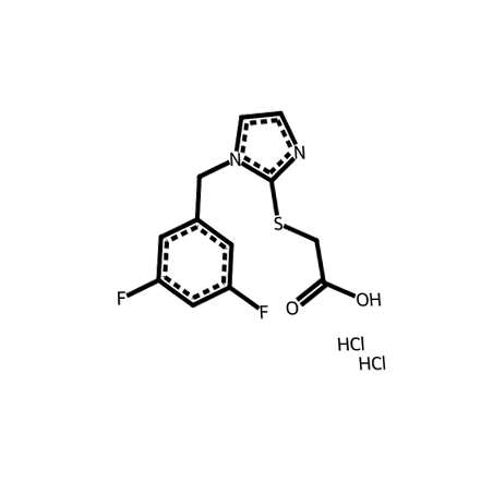 Cl.Cl.O=C(O)CSc1nccn1Cc1cc(F)cc(F)c1